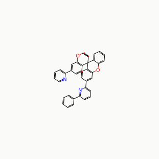 c1ccc(-c2cccc(-c3ccc4c(c3)Oc3ccccc3C43c4ccccc4Oc4cc(-c5ccccn5)ccc43)n2)cc1